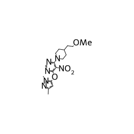 COCCC1CCN(c2ncnc(Oc3cc(C)nn3C)c2[N+](=O)[O-])CC1